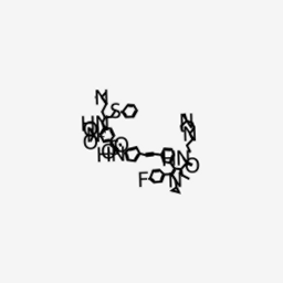 Cc1c(C(=O)NCCCN2CCN(C)CC2)c(-c2cccc(C#Cc3ccc(NS(=O)(=O)c4ccc(NC(CCN(C)C)CSc5ccccc5)c([N+](=O)[O-])c4)cc3)c2)c(-c2ccc(F)cc2)n1C1CC1